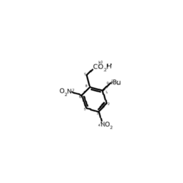 CCC(C)c1cc([N+](=O)[O-])cc([N+](=O)[O-])c1CC(=O)O